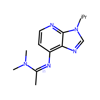 C/C(=N/c1ccnc2c1ncn2C(C)C)N(C)C